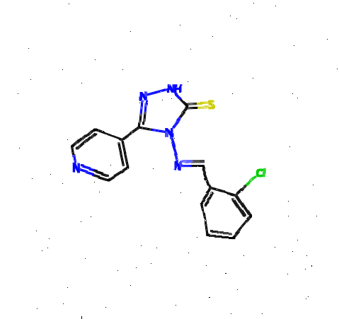 S=c1[nH]nc(-c2ccncc2)n1/N=C/c1ccccc1Cl